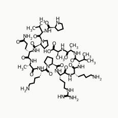 CC(C)[C@H](NC(=O)[C@H](CCCCN)NC(=O)[C@H](CCCNC(=N)N)NC(=O)[C@@H]1CCCN1C(=O)[C@H](CCCCN)NC(=O)[C@H](C)NC(=O)[C@H](CCC(N)=O)NC(=O)[C@@H]1CCCN1C(=O)[C@@H](NC(=O)[C@@H]1CCCN1)C(C)C)C(=O)N[C@@H](C)C(=O)N[C@@H](C)C(=O)O